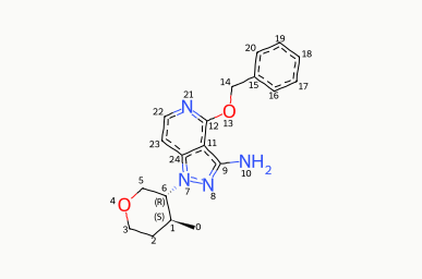 C[C@H]1CCOC[C@@H]1n1nc(N)c2c(OCc3ccccc3)nccc21